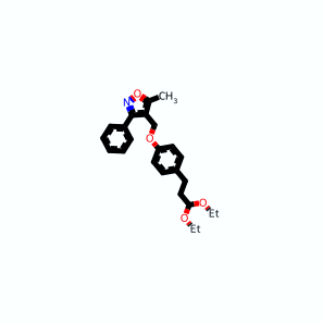 CCOC(CCc1ccc(OCc2c(-c3ccccc3)noc2C)cc1)OCC